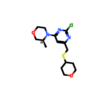 C[C@H]1COCCN1c1cc(CSC2CCOCC2)nc(Cl)n1